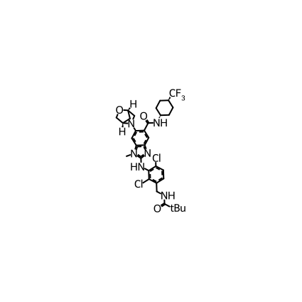 Cn1c(Nc2c(Cl)ccc(CNC(=O)C(C)(C)C)c2Cl)nc2cc(C(=O)N[C@H]3CC[C@H](C(F)(F)F)CC3)c(N3C[C@@H]4C[C@H]3CO4)cc21